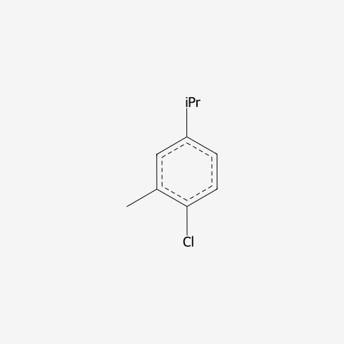 [CH2]C(C)c1ccc(Cl)c(C)c1